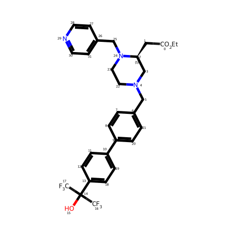 CCOC(=O)C[C@H]1CN(Cc2ccc(-c3ccc(C(O)(C(F)(F)F)C(F)(F)F)cc3)cc2)CCN1Cc1ccncc1